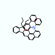 CCCC1(CCC)c2ccccc2-c2cc3ccc4cccc(N(c5ccccc5)c5ccccc5-c5ccccc5)c4c3cc21